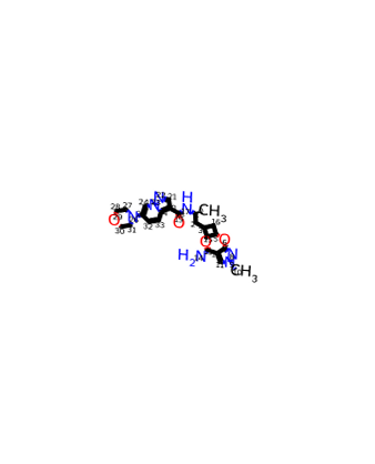 C[C@@H](CC1CC(Oc2nn(C)cc2C(N)=O)C1)NC(=O)c1cnn2cc(N3CCOCC3)ccc12